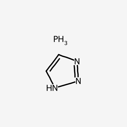 P.c1c[nH]nn1